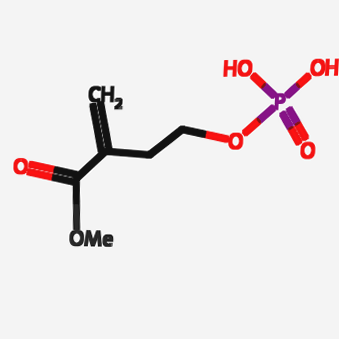 C=C(CCOP(=O)(O)O)C(=O)OC